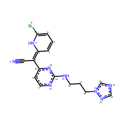 N#C/C(=C1/C=CC=C(Br)N1)c1ccnc(NCCCn2cncn2)n1